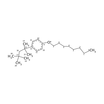 CCCCCCCCOc1ccc(C(C)(C)CC(C)(C)C)cc1